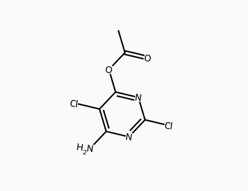 CC(=O)Oc1nc(Cl)nc(N)c1Cl